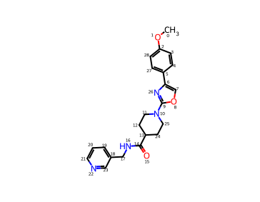 COc1ccc(-c2coc(N3CCC(C(=O)NCc4cccnc4)CC3)n2)cc1